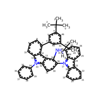 CC(C)(C)c1cc(-c2cccc3c2c2c(N)c(-n4c5ccccc5c5ccccc54)ccc2n3-c2ccccc2)cc(C(C)(C)C)c1